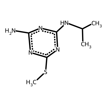 CSc1nc(N)nc(NC(C)C)n1